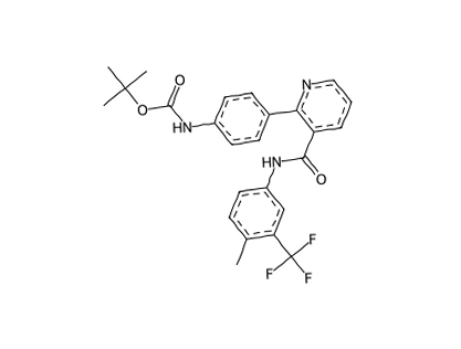 Cc1ccc(NC(=O)c2cccnc2-c2ccc(NC(=O)OC(C)(C)C)cc2)cc1C(F)(F)F